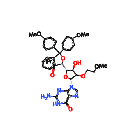 COCCO[C@@H]1[C@H](O)[C@@H](C(OC(c2ccccc2)(c2ccc(OC)cc2)c2ccc(OC)cc2)C(=O)C(C)C)O[C@H]1n1cnc2c(=O)[nH]c(N)nc21